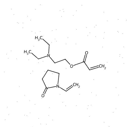 C=CC(=O)OCCN(CC)CC.C=CN1CCCC1=O